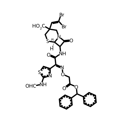 O=CNc1nc(C(=NOCC(=O)OC(c2ccccc2)c2ccccc2)C(=O)NC2C(=O)N3CC(C=C(Br)Br)(C(=O)O)CS[C@H]23)cs1